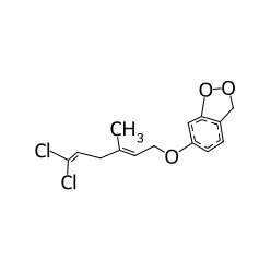 C/C(=C\COc1ccc2c(c1)OOC2)CC=C(Cl)Cl